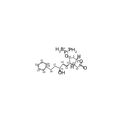 BP(P)O[C@@H]1C[C@@H]2OC(=O)C[C@@H]2[C@H]1/C=C/[C@@H](O)CCc1ccccc1